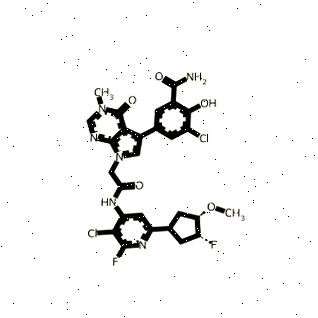 CO[C@H]1CC(c2cc(NC(=O)Cn3cc(-c4cc(Cl)c(O)c(C(N)=O)c4)c4c(=O)n(C)cnc43)c(Cl)c(F)n2)C[C@H]1F